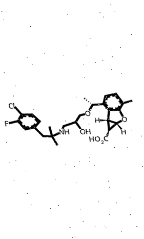 Cc1ccc([C@@H](C)OCC(O)CNC(C)(C)Cc2ccc(Cl)c(F)c2)c2c1O[C@@H]1[C@@H](C(=O)O)[C@H]21